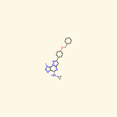 Cn1cnc2c(NC3CC3)nc3cc(-c4ccc(OCc5ccccc5)cc4)nn3c21